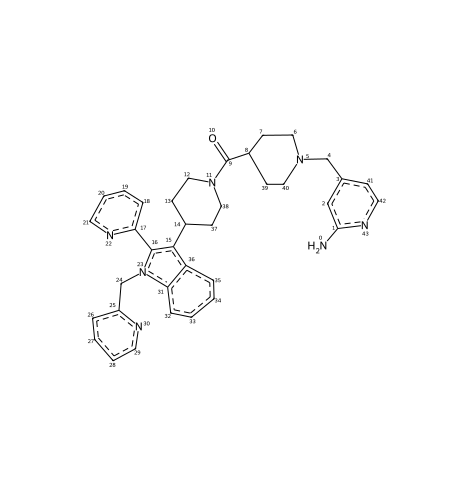 Nc1cc(CN2CCC(C(=O)N3CCC(c4c(-c5ccccn5)n(Cc5ccccn5)c5ccccc45)CC3)CC2)ccn1